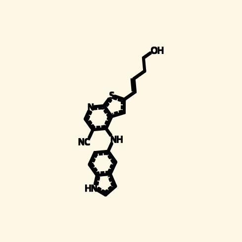 N#Cc1cnc2sc(/C=C/CCO)cc2c1Nc1ccc2[nH]ccc2c1